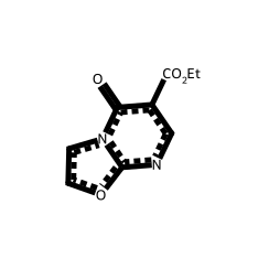 CCOC(=O)c1cnc2occn2c1=O